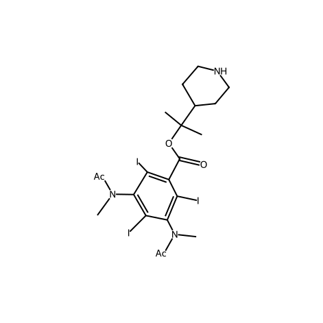 CC(=O)N(C)c1c(I)c(C(=O)OC(C)(C)C2CCNCC2)c(I)c(N(C)C(C)=O)c1I